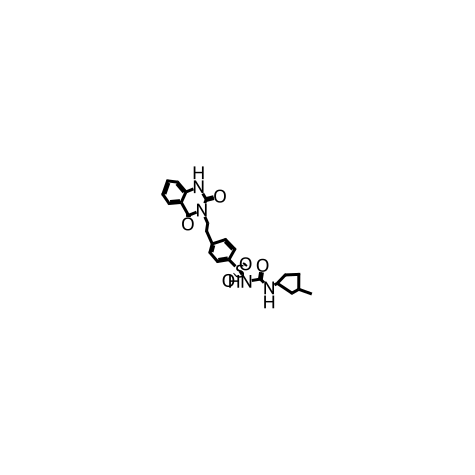 CC1CCC(NC(=O)NS(=O)(=O)c2ccc(CCn3c(=O)[nH]c4ccccc4c3=O)cc2)C1